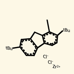 Cc1c(C(C)(C)C)ccc2c1Cc1cc(C(C)(C)C)ccc1-2.[Cl-].[Cl-].[Zr+2]